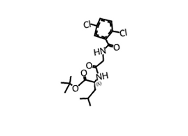 CC(C)C[C@H](NC(=O)CNC(=O)c1cc(Cl)ccc1Cl)C(=O)OC(C)(C)C